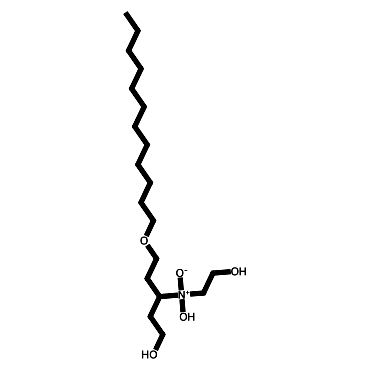 CCCCCCCCCCCCOCCC(CCO)[N+]([O-])(O)CCO